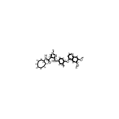 COc1cc2nccc(Oc3ccc(Nc4nn(C)cc4C(=O)NC4CCCCCCC4)cc3F)c2cc1OC